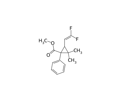 COC(=O)C1(c2ccccc2)C(C=C(F)F)C1(C)C